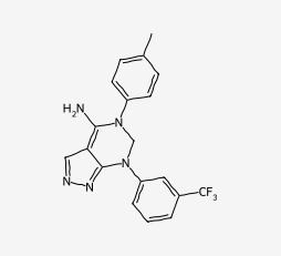 Cc1ccc(N2CN(c3cccc(C(F)(F)F)c3)C3=NN=CC3=C2N)cc1